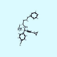 OC[C@H](CSCc1ccccc1)N[C@@](C#CC1CC1)(c1ccc(F)cc1)C(F)(F)F